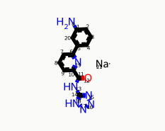 Nc1cccc(-c2cccc(C(=O)Nc3nnn[nH]3)n2)c1.[Na]